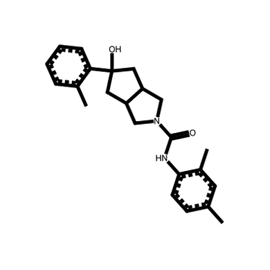 Cc1ccc(NC(=O)N2CC3CC(O)(c4ccccc4C)CC3C2)c(C)c1